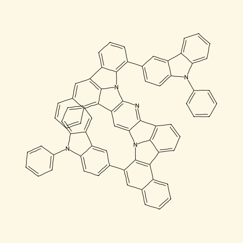 c1ccc(-n2c3ccccc3c3cc(-c4cc5ccccc5c5c6cccc7c8nc9c(cc8n(c45)c76)c4c5ccccc5cc5c6cccc(-c7ccc8c(c7)c7ccccc7n8-c7ccccc7)c6n9c54)ccc32)cc1